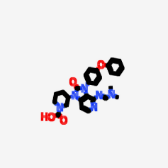 CN(C)/C=N/c1nccc2c1n(-c1ccc(Oc3ccccc3)cc1)c(=O)n2[C@@H]1CCCN(C(=O)O)C1